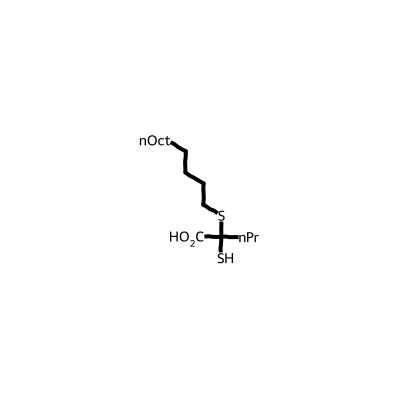 CCCCCCCCCCCCSC(S)(CCC)C(=O)O